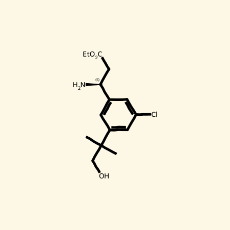 CCOC(=O)C[C@H](N)c1cc(Cl)cc(C(C)(C)CO)c1